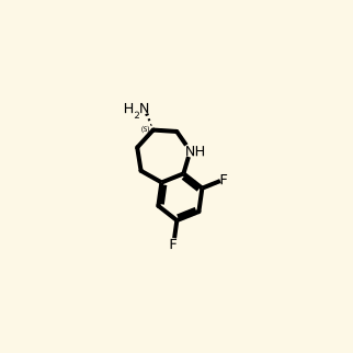 N[C@H]1CCc2cc(F)cc(F)c2NC1